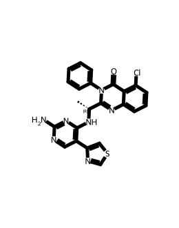 C[C@@H](Nc1nc(N)ncc1-c1cscn1)c1nc2cccc(Cl)c2c(=O)n1-c1ccccc1